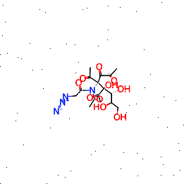 CC(=O)C(=O)[C@@](C(C)=O)(N(C(C)=O)C(=O)CN=[N+]=[N-])[C@](O)(C(C)=O)[C@H](O)[C@H](O)CO